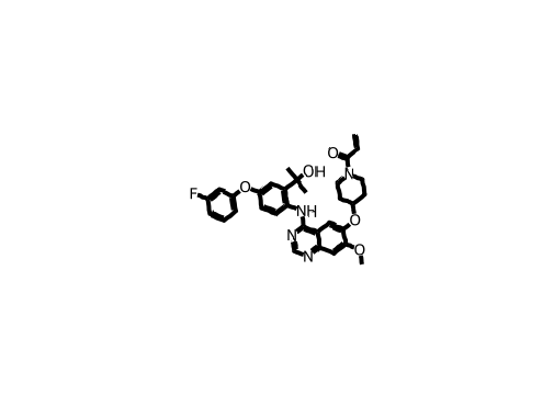 C=CC(=O)N1CCC(Oc2cc3c(Nc4ccc(Oc5cccc(F)c5)cc4C(C)(C)O)ncnc3cc2OC)CC1